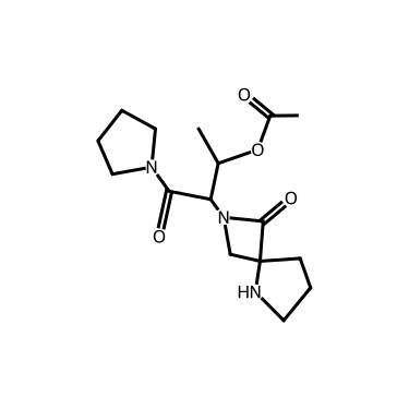 CC(=O)OC(C)C(C(=O)N1CCCC1)N1CC2(CCCN2)C1=O